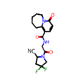 N#CC1CC(F)(F)CN1C(=O)CNC(=O)c1ccc(=O)n2c1CCCCC2